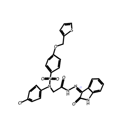 O=C(CN(c1ccc(Cl)cc1)S(=O)(=O)c1ccc(OCc2cccs2)cc1)N/N=C1\C(=O)Nc2ccccc21